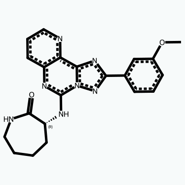 COc1cccc(-c2nc3c4ncccc4nc(N[C@@H]4CCCCNC4=O)n3n2)c1